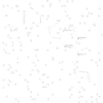 Cc1ccc(-c2cc3[nH]c(=O)c(C(=O)NC4C=CS(=O)(=O)C4)cc3s2)cc1C